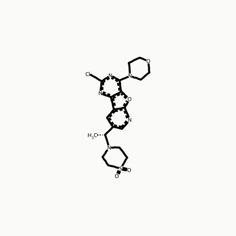 C[C@H](c1cnc2oc3c(N4CCOCC4)nc(Cl)nc3c2c1)N1CCS(=O)(=O)CC1